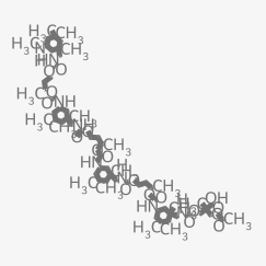 CNC1CC(C)(C)CC(C)(CNC(=O)OCCC(C)OC(=O)NC2CC(C)(C)CC(C)(CNC(=O)OCCC(C)OC(=O)NC3CC(C)(C)CC(C)(CNC(=O)OCCC(C)OC(=O)NC4CC(C)(C)CC(C)(CNC(=O)OCC(C)(COC(C)=O)C(=O)O)C4)C3)C2)C1